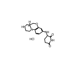 Cl.O=C1CCC(Nc2ccc3c(c2)OC[C@H]2CNCCN32)C(=O)N1